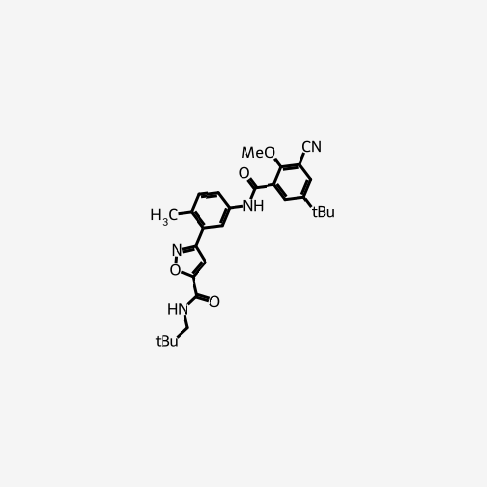 COc1c(C#N)cc(C(C)(C)C)cc1C(=O)Nc1ccc(C)c(-c2cc(C(=O)NCC(C)(C)C)on2)c1